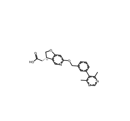 Cc1ncnc(C)c1-c1cccc(COc2cc3c(cn2)[C@H](CC(=O)O)CO3)c1